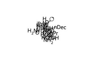 CCCCCCCCCCCCCC[C@@H](OC(=O)CCC)[C@@H](O)[C@H](CO[C@H]1O[C@H](CO)[C@H](O)[C@H](O)[C@H]1O)N(C(=O)OCc1ccc(N)cc1)C(=O)[C@H](CCCNC(N)=O)NC(=O)[C@@H](NC(=O)OCC1C2CCC#CCCC21)C(C)C